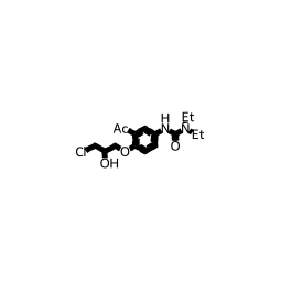 CCN(CC)C(=O)Nc1ccc(OCC(O)CCl)c(C(C)=O)c1